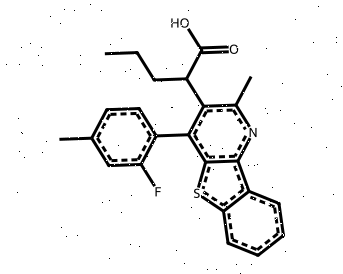 CCCC(C(=O)O)c1c(C)nc2c(sc3ccccc32)c1-c1ccc(C)cc1F